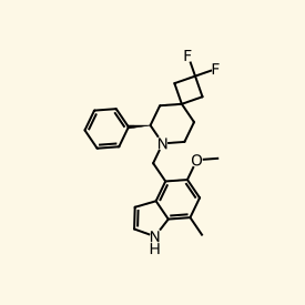 COc1cc(C)c2[nH]ccc2c1CN1CCC2(C[C@@H]1c1ccccc1)CC(F)(F)C2